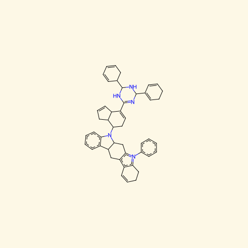 C1=CCC(C2NC(C3=CCC(N4c5ccccc5C5Cc6c7c(n(-c8ccccc8)c6CC54)CCC=C7)C4CC=CC34)=NC(C3=CCCC=C3)N2)C=C1